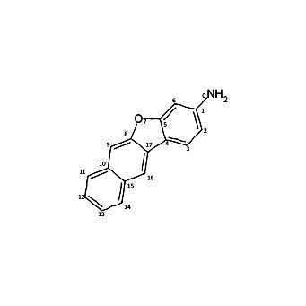 Nc1ccc2c(c1)oc1cc3ccccc3cc12